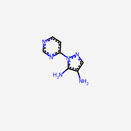 Nc1cnn(-c2ccncn2)c1N